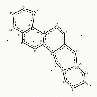 c1ccc2cc3c(ccc4c3ccc3nccnc34)cc2c1